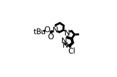 CC1CN([C@@H]2CCCN(C(=O)OC(C)(C)C)C2)c2nnc(Cl)cc21